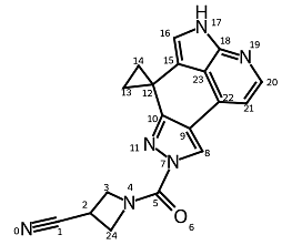 N#CC1CN(C(=O)n2cc3c(n2)C2(CC2)c2c[nH]c4nccc-3c24)C1